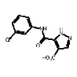 O=C(O)c1cn[nH]c1C(=O)Nc1cccc(Cl)c1